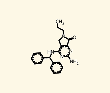 CCCN1Cc2c(NC(c3ccccc3)c3ccccc3)nc(N)nc2C1=O